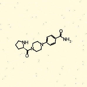 NC(=O)c1ccc(N2CCN(C(=O)[C@H]3CCCN3)CC2)cc1